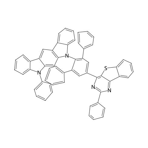 c1ccc(-c2nc(-c3cc(-c4ccccc4)c(-n4c5ccccc5c5cc6c7ccccc7n(-c7ccccc7)c6cc54)c(-c4ccccc4)c3)c3sc4ccccc4c3n2)cc1